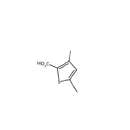 Cc1cc(I)c(C(=O)O)s1